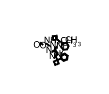 C[C@@H](Nc1nc(C(=N)OC=O)nc2nc(C3(c4ccccc4)CCC3)n(C[C@H]3CC[C@H](C)CC3)c12)C1CCC1